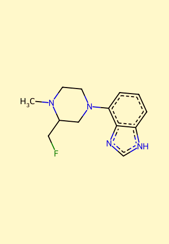 CN1CCN(c2cccc3[nH]cnc23)CC1CF